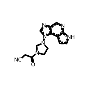 N#CCC(=O)N1CCN(n2cnc3cnc4[nH]ccc4c32)C1